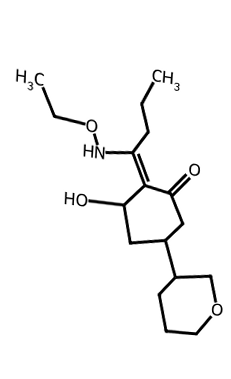 CCCC(NOCC)=C1C(=O)CC(C2CCCOC2)CC1O